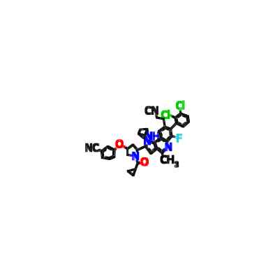 Cc1nc2c(F)c(-c3cccc(Cl)c3Cl)c(CCC#N)cc2c2c1cc(C1CC(Oc3cccc(C#N)c3)CN1C(=O)C1CC1)n2C1C2CNC1C2